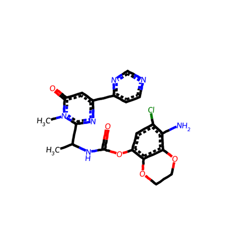 CC(NC(=O)Oc1cc(Cl)c(N)c2c1OCCO2)c1nc(-c2ccncn2)cc(=O)n1C